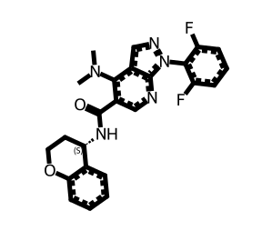 CN(C)c1c(C(=O)N[C@H]2CCOc3ccccc32)cnc2c1cnn2-c1c(F)cccc1F